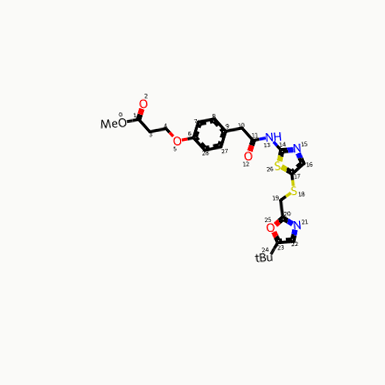 COC(=O)CCOc1ccc(CC(=O)Nc2ncc(SCc3ncc(C(C)(C)C)o3)s2)cc1